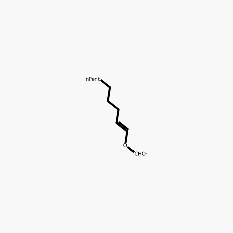 CCCCCCCCC=CO[C]=O